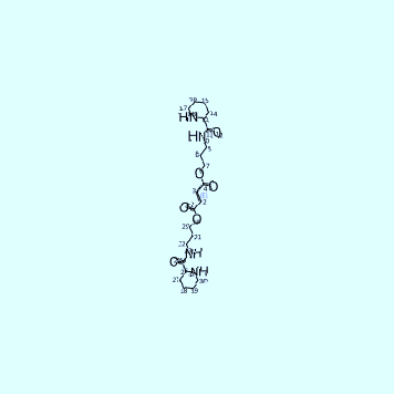 O=C(/C=C/C(=O)OCCCNC(=O)C1CCCCN1)OCCCNC(=O)C1CCCCN1